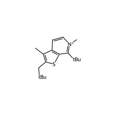 Cc1c(CC(C)(C)C)sc2c(C(C)(C)C)[n+](C)ccc12